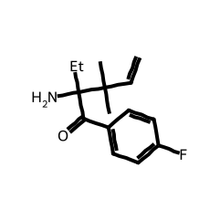 C=CC(C)(C)C(N)(CC)C(=O)c1ccc(F)cc1